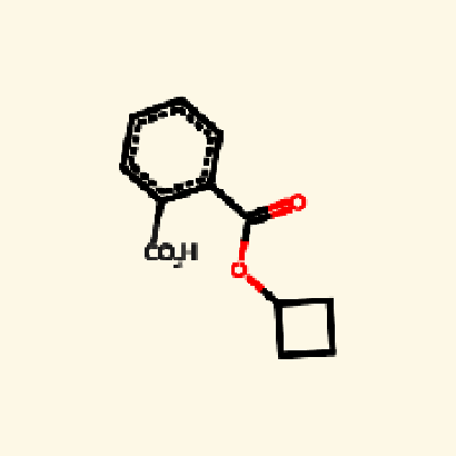 O=C(O)c1ccccc1C(=O)OC1CCC1